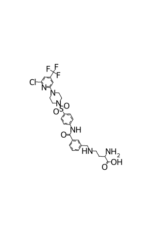 NC(CCNCc1cccc(C(=O)Nc2ccc(S(=O)(=O)N3CCN(c4cc(C(F)(F)F)cc(Cl)n4)CC3)cc2)c1)C(=O)O